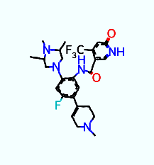 CC1CN(c2cc(F)c(C3=CCN(C)CC3)cc2NC(=O)c2c[nH]c(=O)cc2C(F)(F)F)CC(C)N1C